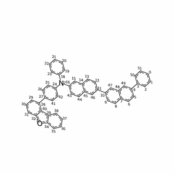 c1ccc(-c2ccc3ccc(-c4ccc5cc(N(c6ccccc6)c6ccc(-c7cccc8oc9ccccc9c78)cc6)ccc5c4)cc3c2)cc1